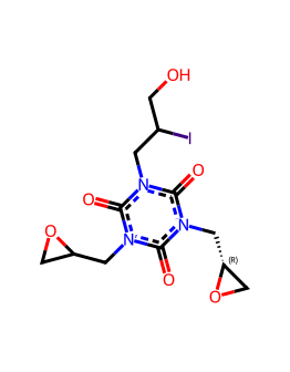 O=c1n(CC(I)CO)c(=O)n(C[C@@H]2CO2)c(=O)n1CC1CO1